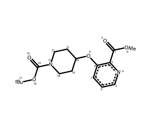 COC(=O)c1ncccc1OC1CCN(C(=O)OC(C)(C)C)CC1